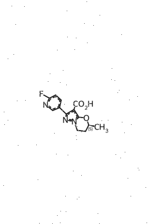 C[C@H]1CCn2nc(-c3ccc(F)nc3)c(C(=O)O)c2O1